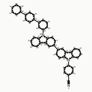 N#Cc1ccc(-n2c3ccccc3c3cc(-c4ccc5c(c4)c4ccccc4n5-c4cccc(-c5ccc(-c6ccccc6)cc5)c4)ccc32)cc1